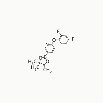 C=C1OB(c2ccc(Oc3ccc(F)cc3F)nc2)OC1(C)C